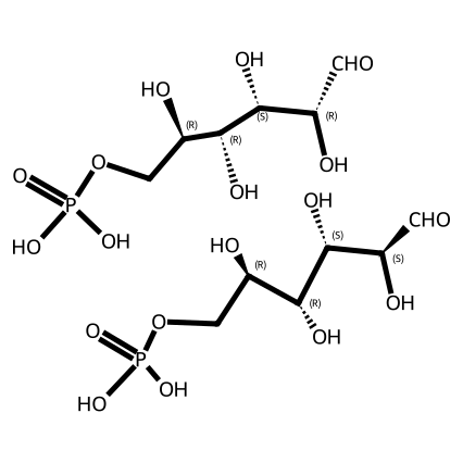 O=C[C@@H](O)[C@@H](O)[C@H](O)[C@H](O)COP(=O)(O)O.O=C[C@H](O)[C@@H](O)[C@H](O)[C@H](O)COP(=O)(O)O